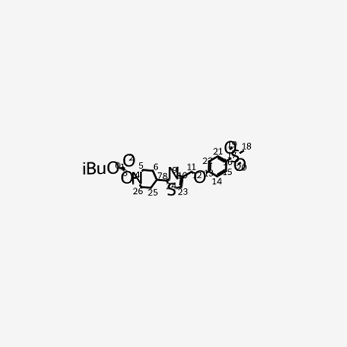 CC(C)COC(=O)ON1CCC(c2nc(COc3ccc(S(C)(=O)=O)cc3)cs2)CC1